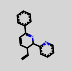 C=CC1C=CC(c2ccccc2)=NC1c1ccccn1